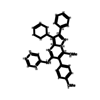 COc1ccc(-c2c(Nc3cnncn3)nc3c(C4CC=CCC4)c(-c4ccccc4)nn3c2OC)cc1